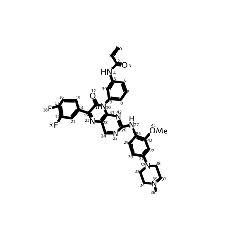 C=CC(=O)Nc1cccc(-n2c(=O)c(-c3ccc(F)c(F)c3)nc3cnc(Nc4ccc(N5CCN(C)CC5)cc4OC)nc32)c1